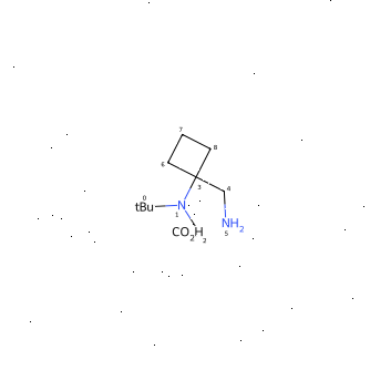 CC(C)(C)N(C(=O)O)C1(CN)CCC1